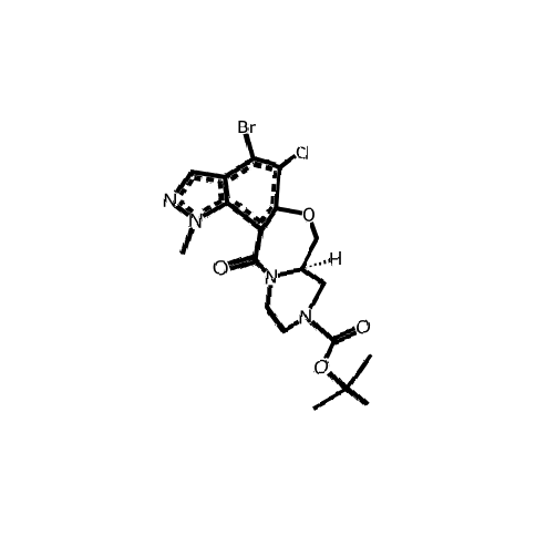 Cn1ncc2c(Br)c(Cl)c3c(c21)C(=O)N1CCN(C(=O)OC(C)(C)C)C[C@@H]1CO3